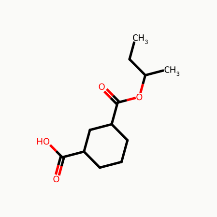 CCC(C)OC(=O)C1CCCC(C(=O)O)C1